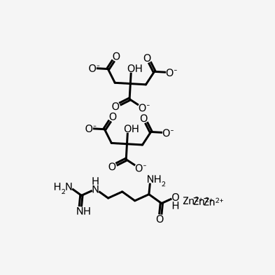 N=C(N)NCCCC(N)C(=O)O.O=C([O-])CC(O)(CC(=O)[O-])C(=O)[O-].O=C([O-])CC(O)(CC(=O)[O-])C(=O)[O-].[Zn+2].[Zn+2].[Zn+2]